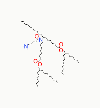 CCCCCCCCCCC(CCCCCCC(=O)OCC(CCCCCC)CCCCCCCC)N(CCCCCCCC(=O)OCC(CCCCCC)CCCCCCCC)C(=O)CCCCN(C)C